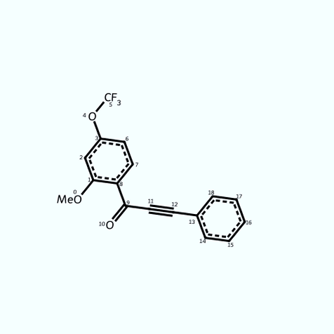 COc1cc(OC(F)(F)F)ccc1C(=O)C#Cc1ccccc1